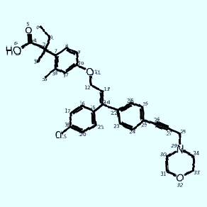 CCC(C)(C(=O)O)c1ccc(OCC=C(c2ccc(Cl)cc2)c2ccc(C#CCN3CCOCC3)cc2)cc1C